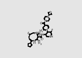 CC1NCC(F)C/C=C(/C2CCCC2)NC(N)C1C(=O)NC1CNCC(F)C1N1CCC(C(=O)N2CCN(C3COC3)CC2)CC1